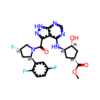 COC(=O)[C@H]1C[C@@H](O)[C@H](Nc2ncnc3[nH]nc(C(=O)N4C[C@@H](F)C[C@@H]4c4cc(F)ccc4F)c23)C1